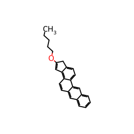 CCCCCOC1=Cc2c(ccc3c2ccc2cc4ccccc4cc23)C1